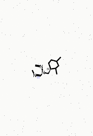 C=NN(/C=N\C)C[C@H]1CCC(C)CC1C